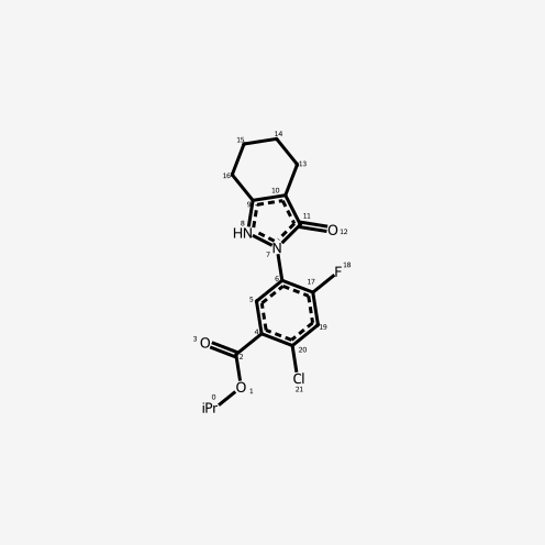 CC(C)OC(=O)c1cc(-n2[nH]c3c(c2=O)CCCC3)c(F)cc1Cl